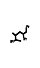 CC(C)CC([CH]C(C)C(C)C(C)C)C(C)C